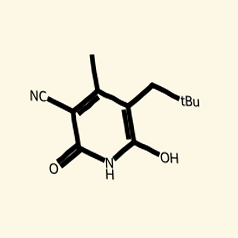 Cc1c(CC(C)(C)C)c(O)[nH]c(=O)c1C#N